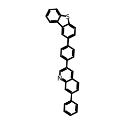 c1ccc(-c2ccc3cc(-c4ccc(-c5ccc6sc7ccccc7c6c5)cc4)cnc3c2)cc1